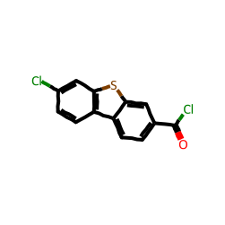 O=C(Cl)c1ccc2c(c1)sc1cc(Cl)ccc12